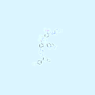 O=C(N[S+]([O-])c1ccc(NCC2CCNCC2)c([N+](=O)[O-])c1)c1ccc(N2CCN(CC3=C(c4ccc(Cl)cc4)CC4(CCC4)CC3)CC2)cc1Oc1cnc2[nH]ccc2c1